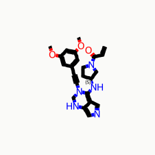 C=CC(=O)N1CC[C@H](NC2=C3C=NC=C3NCN2C#Cc2cc(OC)cc(OC)c2)C1